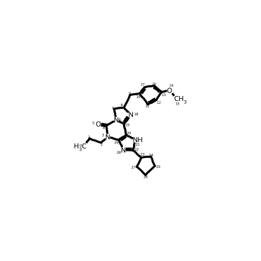 CCCN1C(=O)N2CC(Cc3ccc(OC)cc3)N=C2c2[nH]c(C3CCCC3)nc21